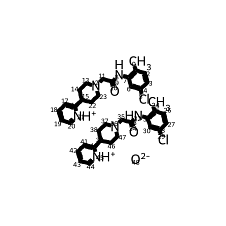 Cc1ccc(Cl)cc1NC(=O)CN1CCC(c2cccc[nH+]2)CC1.Cc1ccc(Cl)cc1NC(=O)CN1CCC(c2cccc[nH+]2)CC1.[O-2]